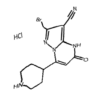 Cl.N#Cc1c(Br)nn2c(C3CCNCC3)cc(=O)[nH]c12